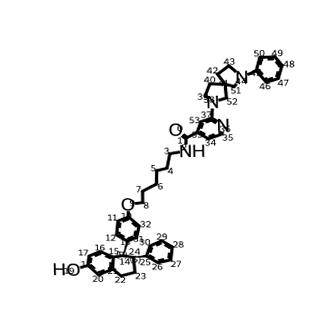 O=C(NCCCCCCOc1ccc([C@@H]2c3ccc(O)cc3CC[C@@H]2c2ccccc2)cc1)c1ccnc(N2CCC3(CCN(c4ccccc4)C3)C2)c1